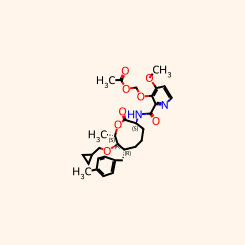 COc1ccnc(C(=O)N[C@H]2CCC[C@H](Cc3ccc(C)cc3)[C@@H](OCC3CC3)[C@H](C)OC2=O)c1OCOC(C)=O